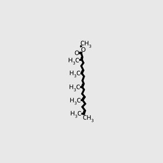 CCOC(=O)/C=C(\C)CC/C=C(\C)CC/C=C(\C)CC/C=C(\C)CCC=C(C)C